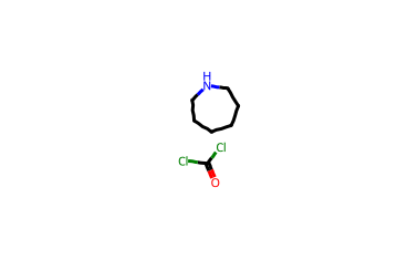 C1CCCNCC1.O=C(Cl)Cl